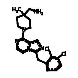 CC1(CN)CCN(c2nccn3c(Cc4cccc(Cl)c4Cl)ncc23)CC1